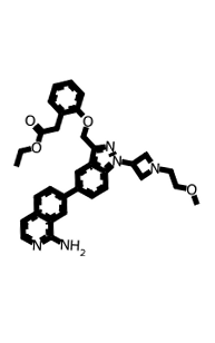 CCOC(=O)Cc1ccccc1OCc1nn(C2CN(CCOC)C2)c2ccc(-c3ccc4ccnc(N)c4c3)cc12